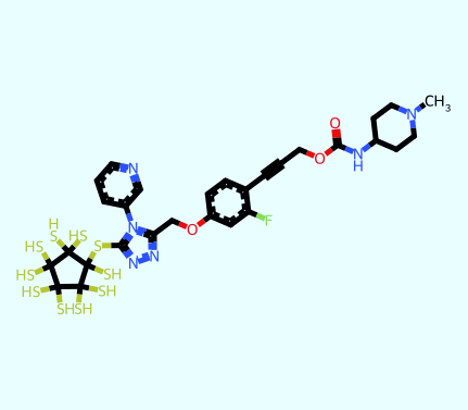 CN1CCC(NC(=O)OCC#Cc2ccc(OCc3nnc(SC4(S)C(S)(S)C(S)(S)C(S)(S)C4(S)S)n3-c3cccnc3)cc2F)CC1